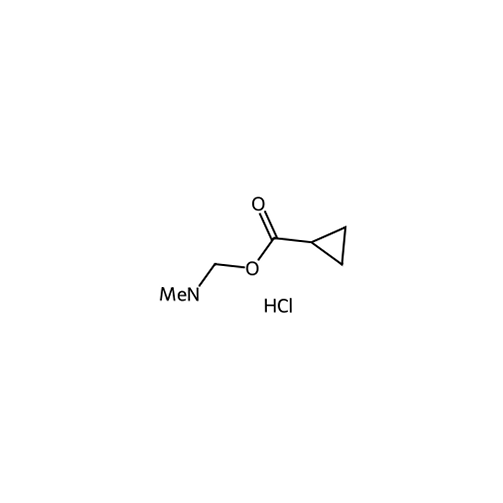 CNCOC(=O)C1CC1.Cl